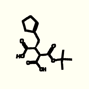 CC(C)(C)OC(=O)C(C(=O)O)[C@@H](CC1=CCCC1)C(=O)O